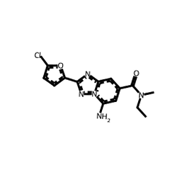 CCN(C)C(=O)c1cc(N)n2nc(-c3ccc(Cl)o3)nc2c1